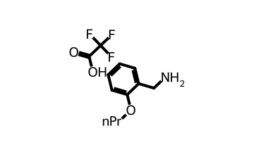 CCCOc1ccccc1CN.O=C(O)C(F)(F)F